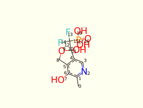 Cc1ncc2c(c1O)COC2(O)C(F)(F)P(=O)(O)O